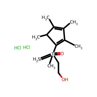 CC1=C(C)C(C)[C]([Ti]([CH3])(=[O])(=[SiH2])[CH2]CO)=C1C.Cl.Cl